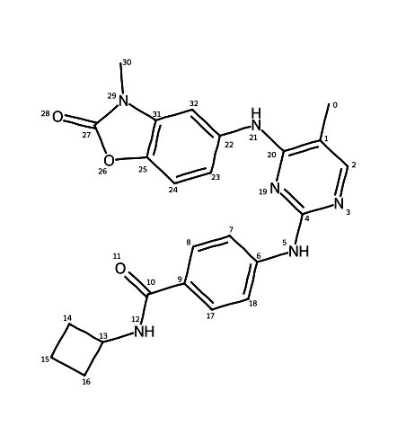 Cc1cnc(Nc2ccc(C(=O)NC3CCC3)cc2)nc1Nc1ccc2oc(=O)n(C)c2c1